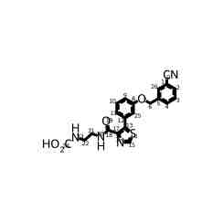 N#Cc1cccc(COc2cccc(-c3scnc3C(=O)NCCNC(=O)O)c2)c1